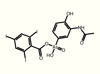 CC(=O)Nc1cc([As](=O)(O)OC(=O)c2c(I)cc(I)cc2I)ccc1O